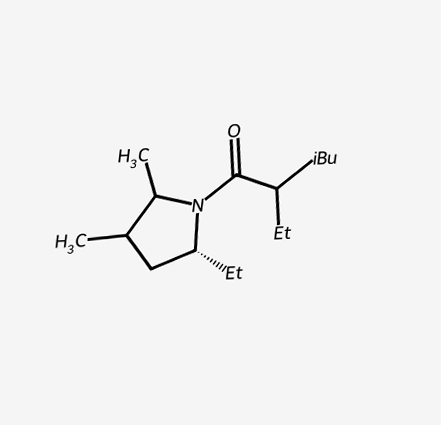 CCC(C)C(CC)C(=O)N1C(C)C(C)C[C@H]1CC